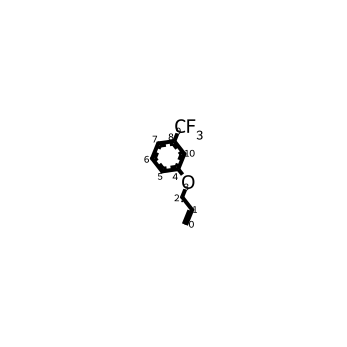 C=C[CH]Oc1cccc(C(F)(F)F)c1